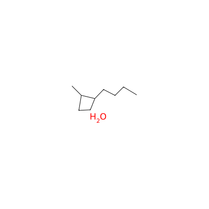 CCCCC1CCC1C.O